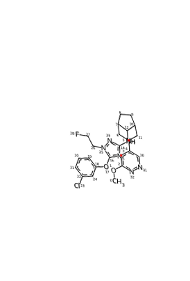 COc1cc(N2CC3CCC(C2)C3Nc2nc(Oc3cccc(Cl)c3)n(CCF)n2)cnn1